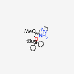 CO[C@H](CO[Si](c1ccccc1)(c1ccccc1)C(C)(C)C)[C@H](N)Cn1cccn1